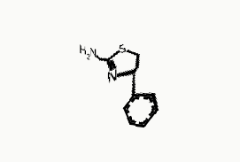 NC1=N[C@H](c2ccccc2)CS1